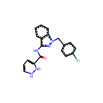 O=C(Nc1nn(Cc2ccc(Cl)cc2)c2ccccc12)C1=CC=CNN1